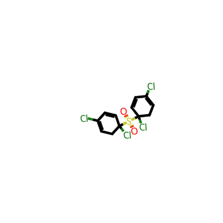 O=S(=O)(C1(Cl)C=CC(Cl)=CC1)C1(Cl)C=CC(Cl)=CC1